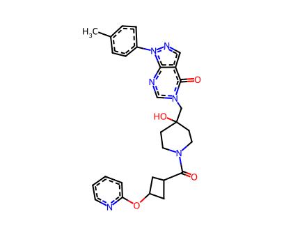 Cc1ccc(-n2ncc3c(=O)n(CC4(O)CCN(C(=O)C5CC(Oc6ccccn6)C5)CC4)cnc32)cc1